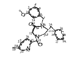 COc1cccc(CN2C(=O)CN(C(=O)c3ccc(C)cn3)C[C@@H]2Cc2ccccc2)c1